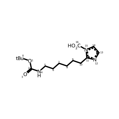 CC(C)(C)OC(=O)NCCCCCCc1nccn1C(=O)O